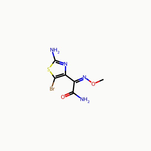 CON=C(C(N)=O)c1nc(N)sc1Br